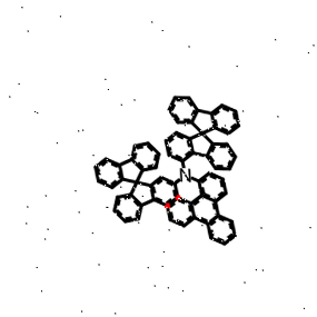 c1ccc2c(c1)-c1ccccc1C21c2ccccc2-c2ccc(N(c3cccc4c3-c3ccccc3C43c4ccccc4-c4ccccc43)c3cccc4c5ccccc5c5ccccc5c34)cc21